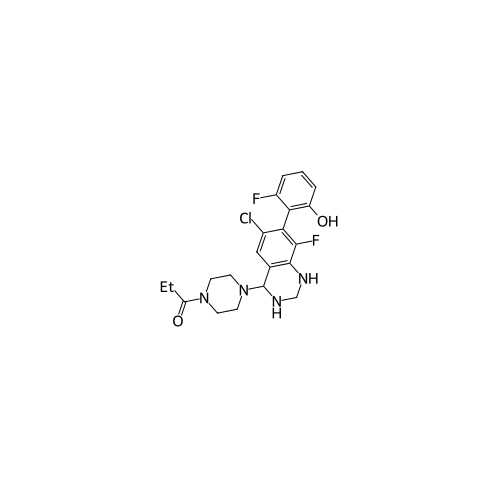 CCC(=O)N1CCN(C2NCNc3c2cc(Cl)c(-c2c(O)cccc2F)c3F)CC1